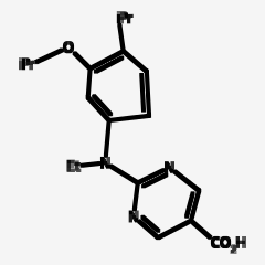 CCN(c1ccc(C(C)C)c(OC(C)C)c1)c1ncc(C(=O)O)cn1